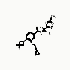 Cc1nc(C(C)(C)NC(=O)c2ccc(N3CC(F)(F)C3)c(OCC3CC3)c2)no1